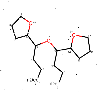 CCCCCCCCCCCCC(OC(CCCCCCCCCCCC)C1CCCO1)C1CCCO1